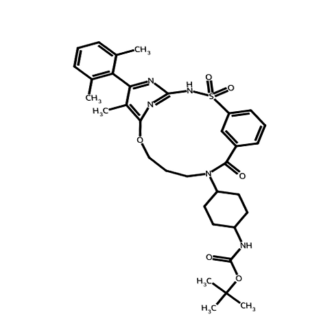 Cc1cccc(C)c1-c1nc2nc(c1C)OCCCN(C1CCC(NC(=O)OC(C)(C)C)CC1)C(=O)c1cccc(c1)S(=O)(=O)N2